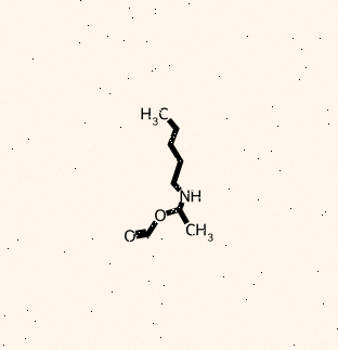 CCCCCNC(C)O[C]=O